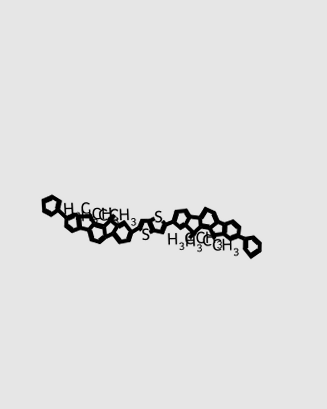 CC1(C)c2cc(-c3ccccc3)ccc2-c2ccc3c(c21)C(C)(C)c1cc(-c2cc4sc(-c5ccc6c(c5)C(C)(C)c5c-6ccc6c5C(C)(C)c5cc(-c7ccccc7)ccc5-6)cc4s2)ccc1-3